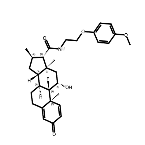 COc1ccc(OCCNC(=O)[C@H]2[C@H](C)C[C@H]3[C@@H]4CCC5=CC(=O)C=C[C@]5(C)[C@@]4(F)[C@@H](O)C[C@@]32C)cc1